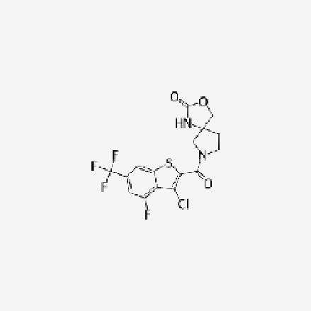 O=C1NC2(CCN(C(=O)c3sc4cc(C(F)(F)F)cc(F)c4c3Cl)C2)CO1